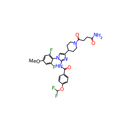 COc1cc(F)c(-n2cc(C3CCN(C(=O)CCC(N)=O)CC3)nc2NC(=O)c2ccc(OC(F)F)cc2)c(F)c1